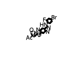 CC(=O)N(C)CCOc1cc2ncnc(Nc3ccc(Br)cc3F)c2cc1[N+](=O)[O-]